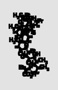 CCC(C(=O)[C@@H](C)[C@@H](O)[C@H](C)[C@@H]1O[C@@H]([C@@H](CC)C(=O)O)CC[C@@H]1C)[C@H]1O[C@]2(C=C[C@@H](NC(=S)NCC(C)C)[C@]3(CC[C@@](C)([C@H]4CC[C@](O)(CC)[C@H](C)O4)O3)O2)[C@H](C)C[C@@H]1C